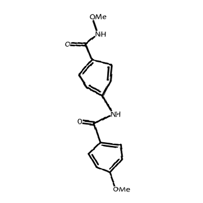 CONC(=O)c1ccc(NC(=O)c2ccc(OC)cc2)cc1